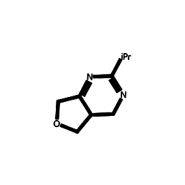 CC(C)C1=NCC2COCC2=N1